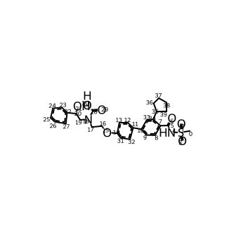 CS(=O)(=O)NC(=O)c1ccc(-c2ccc(OCCN(C[C@@H](O)c3ccccc3)C(=O)O)cc2)cc1C1CCCC1